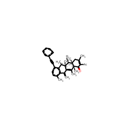 C=C1C2=C(C)[C@@]3(C)C(=O)C(C(C)=O)=C(C)C[C@@]3(C)[C@H](C)[C@@]2(C)[C@H](C)c2c(C#Cc3ccccc3)ccc(C)c21